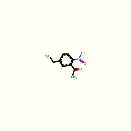 CCc1ccc([N+](=O)[O-])c(C(C)=O)c1